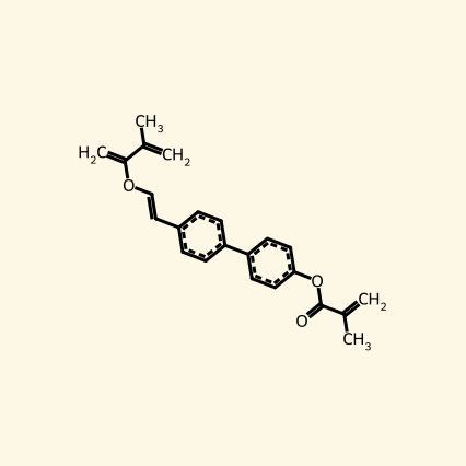 C=C(C)C(=C)O/C=C/c1ccc(-c2ccc(OC(=O)C(=C)C)cc2)cc1